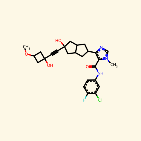 COC1CC(O)(C#CC2(O)CC3CC(c4ncn(C)c4C(=O)Nc4ccc(F)c(Cl)c4)CC3C2)C1